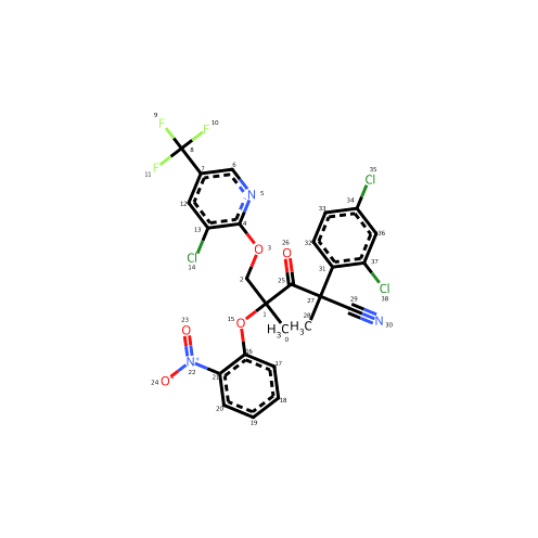 CC(COc1ncc(C(F)(F)F)cc1Cl)(Oc1ccccc1[N+](=O)[O-])C(=O)C(C)(C#N)c1ccc(Cl)cc1Cl